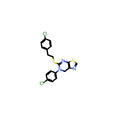 Clc1ccc(CCSC2=Nc3scnc3CN2c2ccc(Cl)cc2)cc1